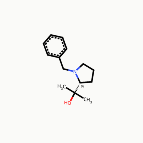 CC(C)(O)[C@H]1CCCN1Cc1ccccc1